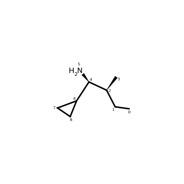 CC[C@H](C)[C@H](N)C1CC1